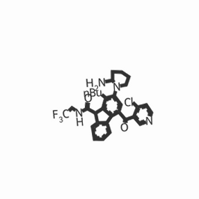 CCCCc1c(N2CCCCC2N)cc(C(=O)c2cnccc2Cl)c2c1C(C(=O)NCC(F)(F)F)c1ccccc1-2